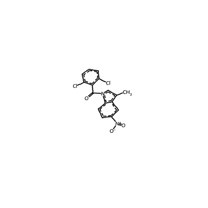 Cc1cn(C(=O)c2c(Cl)cccc2Cl)c2ccc([N+](=O)[O-])cc12